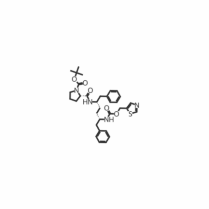 CC(C)(C)OC(=O)N1CCC[C@H]1C(=O)N[C@@H](CC[C@@H](Cc1ccccc1)NC(=O)OCc1cncs1)Cc1ccccc1